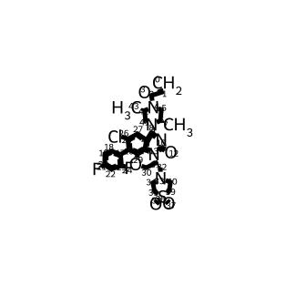 C=CC(=O)N1C[C@H](C)N(c2nc(=O)n3c4c(c(-c5ccc(F)cc5F)c(Cl)cc24)OC[C@H]3CN2CCS(=O)(=O)CC2)C[C@H]1C